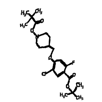 CC(C)(C)OC(=O)c1cc(Cl)c(OCC2CCN(OC(=O)C(C)(C)C)CC2)cc1F